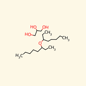 CCCCCC(CC)OC(CC)CCCCC.OCC(O)CO